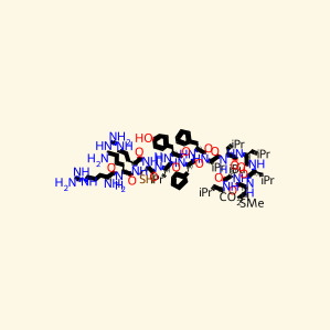 CC[C@H](C)[C@H](NC(=O)[C@H](CCSC)NC(=O)[C@H](CC(C)C)NC(=O)[C@H](CC(C)C)NC(=O)[C@H](CC(C)C)NC(=O)[C@@H](NC(=O)[C@H](Cc1ccccc1)NC(=O)[C@H](Cc1ccccc1)NC(=O)[C@H](Cc1ccc(O)cc1)NC(=O)[C@H](CC(C)C)NC(=O)[C@H](CS)NC(=O)[C@H](CCCNC(=N)N)NC(=O)[C@H](CCCCN)NC(=O)[C@@H](N)CCCNC(=N)N)C(C)C)C(=O)N[C@@H](CC(C)C)C(=O)O